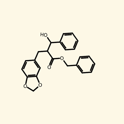 O=C(OCc1ccccc1)C(Cc1ccc2c(c1)OCO2)C(O)c1ccccc1